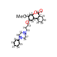 COc1cc2oc(=O)c3c(c2cc1OCCCN1CCN(c2ccccc2)CC1)CCCC3